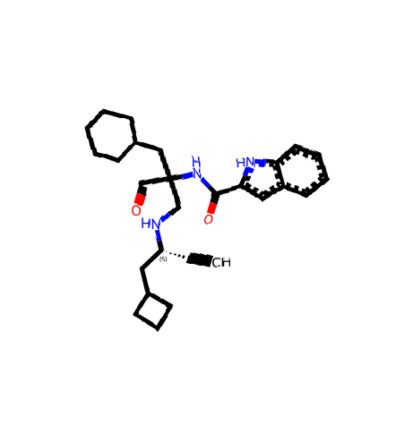 C#C[C@H](CC1CCC1)NCC(C=O)(CC1CCCCC1)NC(=O)c1cc2ccccc2[nH]1